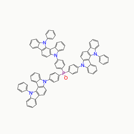 O=P(c1ccc(-n2c3ccccc3c3c2ccc2c4ccccc4n(-c4ccccc4)c23)cc1)(c1ccc(-n2c3ccccc3c3c2ccc2c4ccccc4n(-c4ccccc4)c23)cc1)c1ccc(-n2c3ccccc3c3c2ccc2c4ccccc4n(-c4ccccc4)c23)cc1